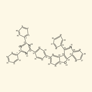 c1ccc(-c2nc(-c3ccccc3)nc(-c3ccc(-c4ccc5oc6c7ccccc7nc(-c7ccccc7)c6c5c4)cc3)n2)cc1